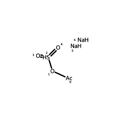 CC(=O)O[SH](=O)=O.[NaH].[NaH]